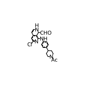 CC(=O)N1CCC(c2ccc(Nc3nc(Cl)cc4c3C(C=O)NC=C4)cc2)CC1